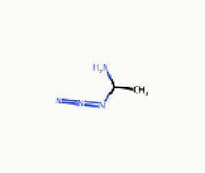 CC(N)N=[N+]=[N-]